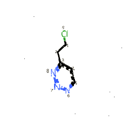 ClCCc1ccnnn1